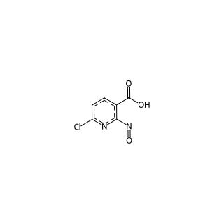 O=Nc1nc(Cl)ccc1C(=O)O